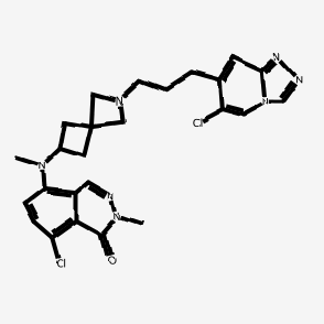 CN(c1ccc(Cl)c2c(=O)n(C)ncc12)C1CC2(C1)CN(CCCc1cc3nncn3cc1Cl)C2